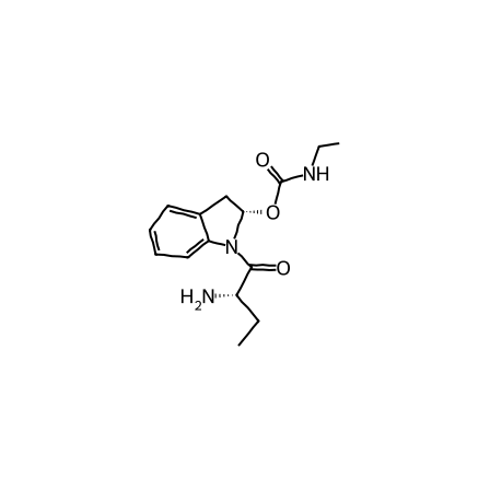 CCNC(=O)O[C@H]1Cc2ccccc2N1C(=O)[C@@H](N)CC